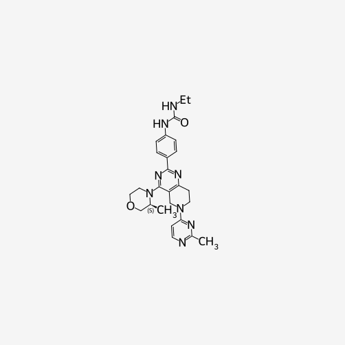 CCNC(=O)Nc1ccc(-c2nc3c(c(N4CCOC[C@@H]4C)n2)CN(c2ccnc(C)n2)CC3)cc1